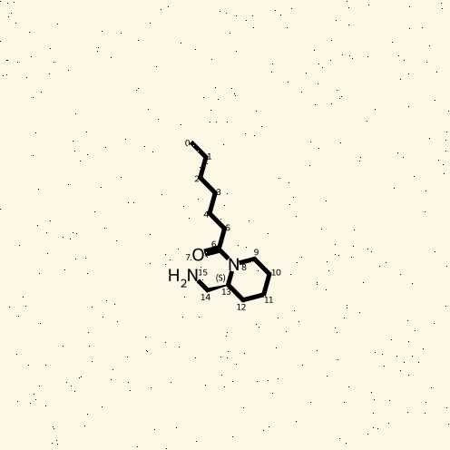 CCCCCCC(=O)N1CCCC[C@H]1CN